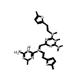 Cc1ccc(CCN(C)C2=NC(CN(CCc3ccc(C)s3)C3=NC(C)N=C(N)N3)N=C(N(C)C)N2C)o1